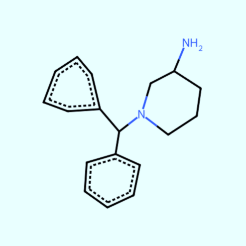 NC1CCCN(C(c2ccccc2)c2ccccc2)C1